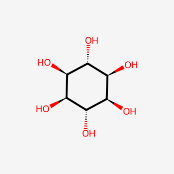 O[C@H]1[C@H](O)[C@@H](O)[C@@H](O)[C@H](O)[C@H]1O